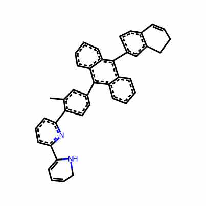 Cc1cc(-c2c3ccccc3c(-c3ccc4c(c3)CCC=C4)c3ccccc23)ccc1-c1cccc(C2=CC=CCN2)n1